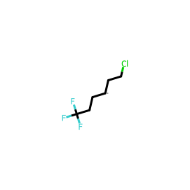 FC(F)(F)CC[CH]CCCl